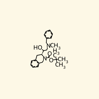 CN(Cc1ccccc1)CC(O)[C@@H]1Cc2ccccc2CN1C(=O)OC(C)(C)C